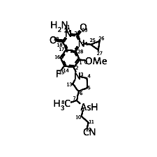 COc1c(N2CCC(C(C)[AsH]CCC#N)C2)c(F)cc2c(=O)n(N)c(=O)n(C3CC3)c12